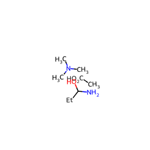 CC(=O)O.CCC(N)O.CN(C)C